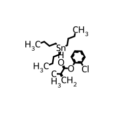 C=C(C)C(=O)Oc1ccccc1Cl.CCC[CH2][SnH]([CH2]CCC)[CH2]CCC